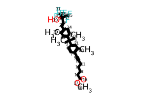 CCC(CC)(c1ccc(C#CCCCCC(=O)OC)c(C)c1)c1ccc(C=CC(O)(C(F)(F)F)C(F)(F)F)c(C)c1